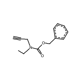 C#CCN(CC)C(=O)OCc1ccccc1